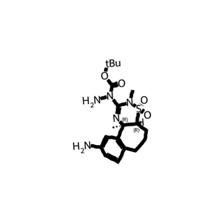 CN1C(N(N)C(=O)OC(C)(C)C)=N[C@]2(C)c3cc(N)ccc3CCC[C@H]2S1(=O)=O